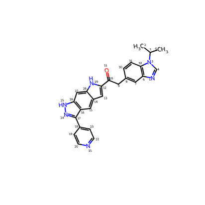 CC(C)n1cnc2cc(CC(=O)c3cc4cc5c(-c6ccncc6)n[nH]c5cc4[nH]3)ccc21